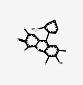 O=C(O)c1ccccc1-c1c2cc(I)c(=O)c(I)c-2sc2c(I)c(O)c(I)cc12